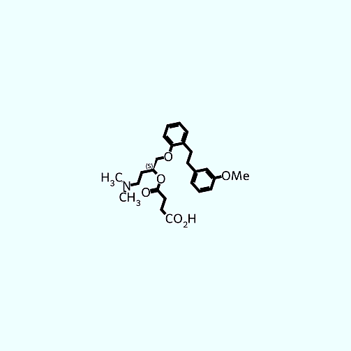 COc1cccc(CCc2ccccc2OC[C@H](CCN(C)C)OC(=O)CCC(=O)O)c1